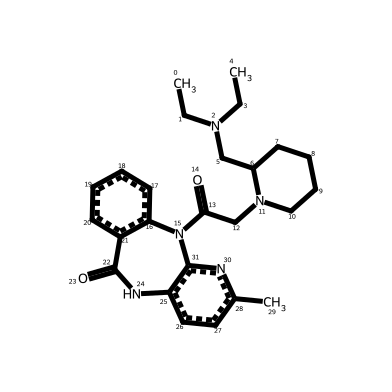 CCN(CC)CC1CCCCN1CC(=O)N1c2ccccc2C(=O)Nc2ccc(C)nc21